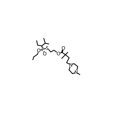 CCCOP(=O)(SCCOC(=O)C(C)(C)CCN1CCN(C)CC1)C(CC)C(C)C